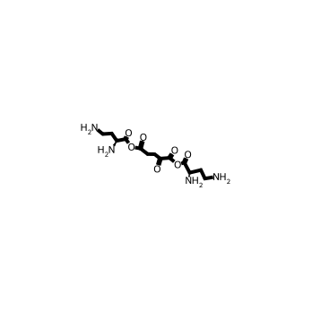 NCC[C@H](N)C(=O)OC(=O)CCC(=O)C(=O)OC(=O)[C@@H](N)CCN